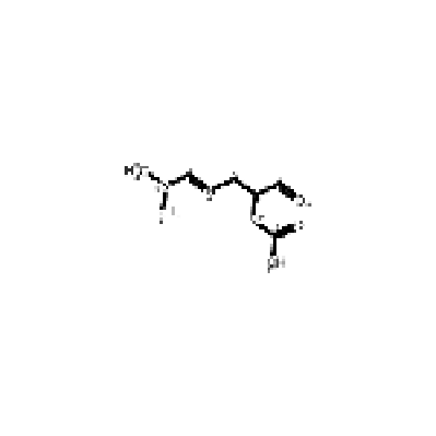 CN(C)C=NCC(C=O)NC(=O)O